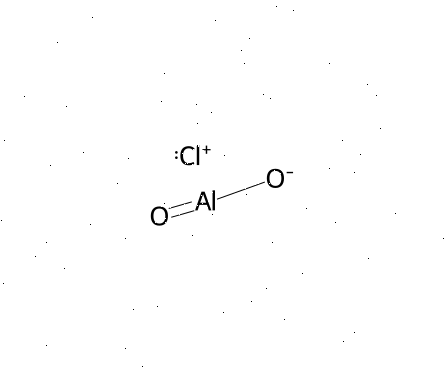 [Cl+].[O]=[Al][O-]